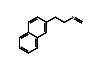 C=NCCc1ccc2ccccc2c1